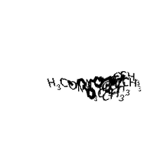 CCOc1ccc2c(n1)c1ccccc1n2Cc1ccc(CP(=O)(OC(C)(C)C)OC(C)(C)C)cc1